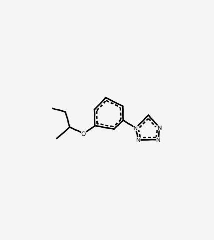 CCC(C)Oc1cccc(-n2cnnn2)c1